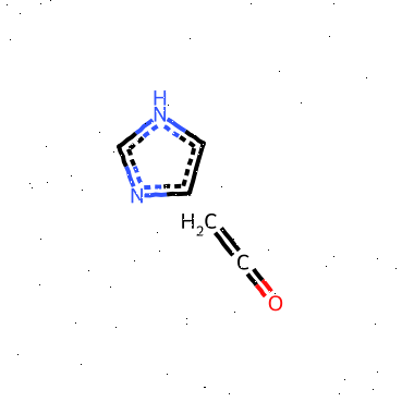 C=C=O.c1c[nH]cn1